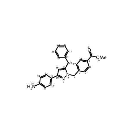 COC(=O)c1ccc(Cn2nc(-c3ccc(N)cc3)cc2Cc2ccccc2)cc1